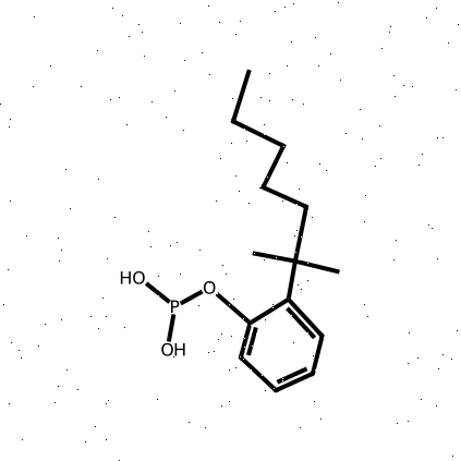 CCCCCC(C)(C)c1ccccc1OP(O)O